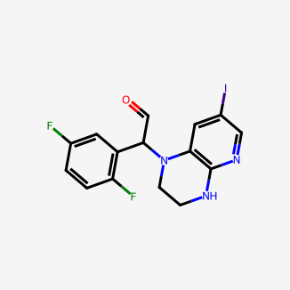 O=CC(c1cc(F)ccc1F)N1CCNc2ncc(I)cc21